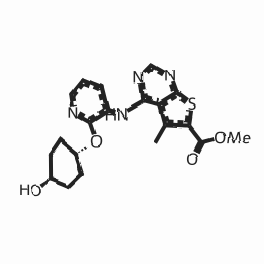 COC(=O)c1sc2ncnc(Nc3cccnc3O[C@H]3CC[C@H](O)CC3)c2c1C